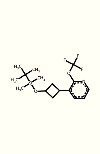 CC(C)(C)[Si](C)(C)OC1CC(c2cccnc2OC(F)(F)F)C1